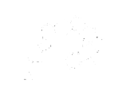 C=C(Nc1ccc(Oc2ccc3nc(NC(=O)C4CC4)cn3n2)c(F)c1)C1(C(=O)N(C)c2cccc(F)c2)CC1